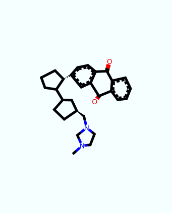 CN1CCN(C[C@H]2CCC(C3CCC[C@@H]3c3ccc4c(c3)C(=O)c3ccccc3C4=O)C2)C1